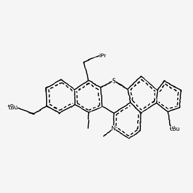 Cc1c2c(c(CC(C)C)c3ccc(CC(C)(C)C)cc13)Sc1cc3cccc(C(C)(C)C)c3c3cc[n+](C)c-2c13